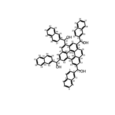 OC(c1ccc2ccccc2c1)c1cc2ccc3c(C(O)c4ccc5ccccc5c4)cc4c(C(O)c5ccc6ccccc6c5)cc5cc(C(O)c6ccc7ccccc7c6)cc6c(c1)c2c3c4c56